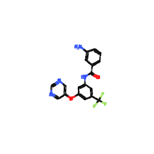 Nc1cccc(C(=O)Nc2cc(Oc3cncnc3)cc(C(F)(F)F)c2)c1